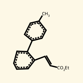 CCOC(=O)C=Cc1ccccc1-c1ccc(C)cc1